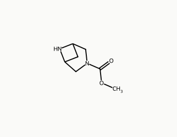 COC(=O)N1CC2CC(C1)N2